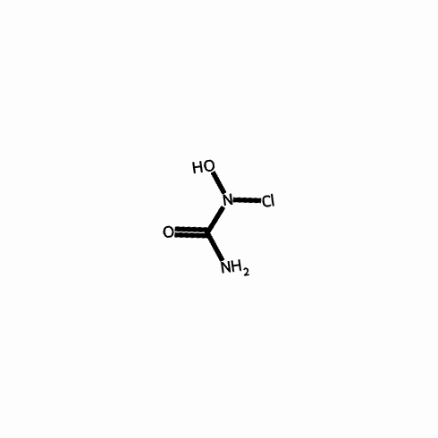 NC(=O)N(O)Cl